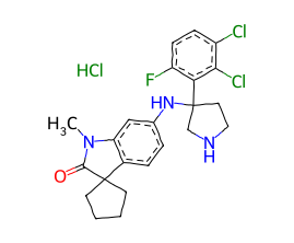 CN1C(=O)C2(CCCC2)c2ccc(NC3(c4c(F)ccc(Cl)c4Cl)CCNC3)cc21.Cl